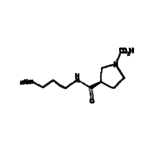 CCCCCCCCCCCCNC(=O)[C@@H]1CCN(C(=O)O)C1